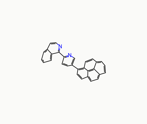 c1ccc2c(-c3ccc(-c4ccc5ccc6cccc7ccc4c5c67)cn3)nccc2c1